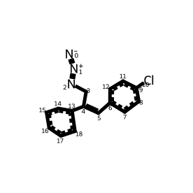 [N-]=[N+]=NCC(=Cc1ccc(Cl)cc1)c1ccccc1